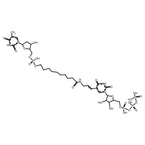 Cc1cn(C2CC(O)C(COP(=O)(O)OCCCCCCCCCC(=O)NC/C=C/c3cn(C4OC(COP(=O)(O)OP(=O)(O)OP(=O)(O)O)C(O)C4O)c(=O)[nH]c3=O)O2)c(=O)[nH]c1=O